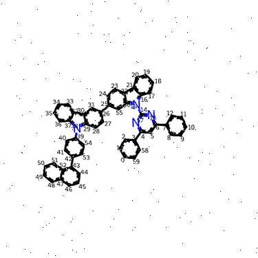 c1ccc(-c2cc(-c3ccccc3)nc(-n3c4ccccc4c4ccc(-c5ccc6c(c5)c5ccccc5n6-c5ccc(-c6cccc7ccccc67)cc5)cc43)n2)cc1